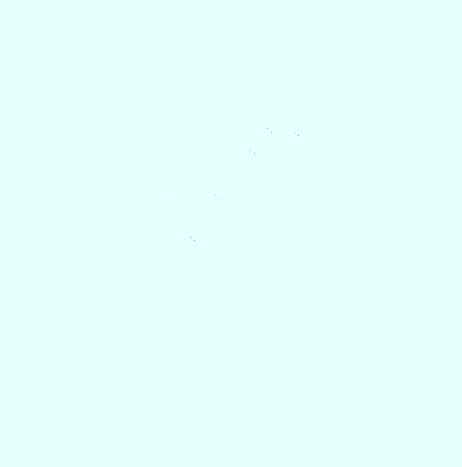 N=NNCc1csc(N2CCC(C(=O)O)CC2)n1